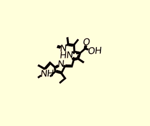 C=N/C(C)=C(/C)c1[nH]c(/C=C2N=C(/C=C(/C)NC)C(C)=C\2CC)c(C)c1C(=O)O